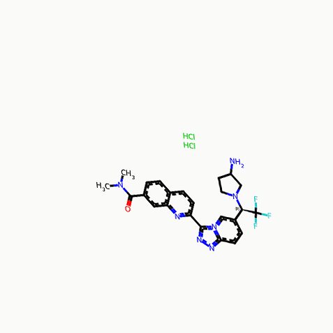 CN(C)C(=O)c1ccc2ccc(-c3nnc4ccc([C@@H](N5CCC(N)C5)C(F)(F)F)cn34)nc2c1.Cl.Cl